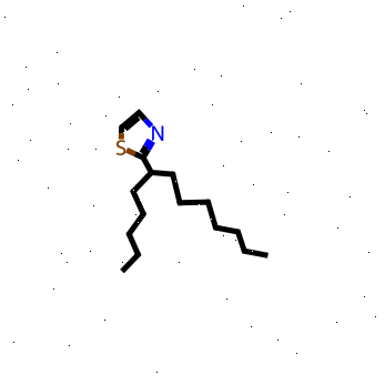 CCCCCCCC(CCCCC)c1nccs1